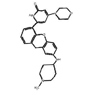 CN1CCC(Nc2ccc3c(c2)Cc2cccc(-c4cc(N5CCOCC5)cc(=O)[nH]4)c2O3)CC1